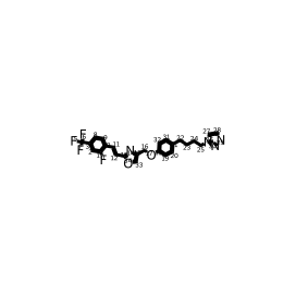 Fc1cc(C(F)(F)F)ccc1C=Cc1nc(COc2ccc(CCCCn3ccnn3)cc2)co1